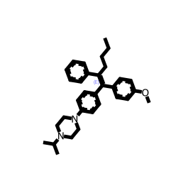 CCCC/C(=C(\c1ccc(OC)cc1)c1ccc(N2CCN(C(C)C)CC2)cc1)c1ccccc1